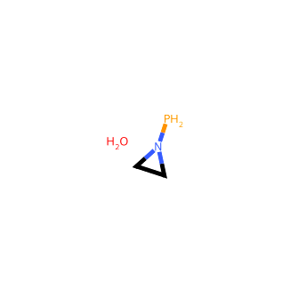 O.PN1CC1